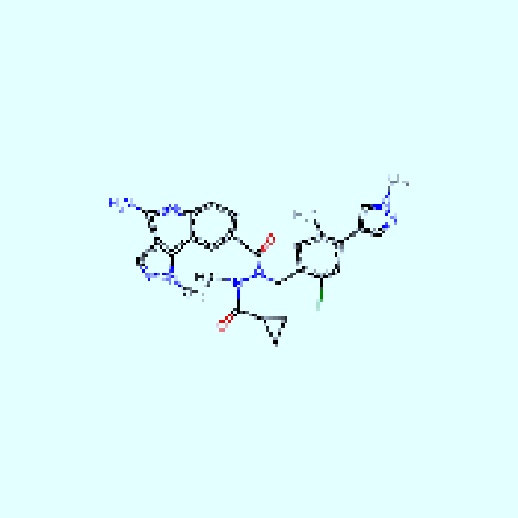 Cc1cc(CN(C(=O)c2ccc3nc(N)c4cnn(C)c4c3c2)N(C)C(=O)C2CC2)c(F)cc1-c1cnn(C(F)(F)F)c1